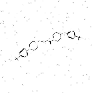 CC(C)(C)c1ccc(N2CCN(CCCC(=O)N3CCC(Nc4ccc(C(F)(F)F)cn4)CC3)CC2)cc1